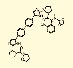 O=C([C@H]1CCCO1)N1CCC[C@H]1c1ncc(-c2ccc(-c3ccc(-c4cnc([C@@H]5CCCN5C(=O)[C@H](NC5OCO5)c5ccccc5Cl)[nH]4)cc3)cc2)[nH]1